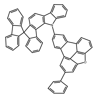 c1ccc(-c2cc3oc4cccc5c6cc(-n7c8ccccc8c8ccc9c(c87)-c7ccccc7C97c8ccccc8-c8ccccc87)ccc6c(c2)c3c45)cc1